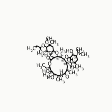 C=CC(=O)OC1[C@H](C)O[C@@H](O[C@H]2[C@H](C)[C@@H](O[C@@H]3O[C@H](C)C[C@H](N(C)C)[C@H]3O)[C@](C)(OC)C[C@@H](C)C(=O)N[C@H](C)[C@@H](O)[C@](C)(O)[C@@H](CC)OC(=O)[C@@H]2C)C[C@@]1(C)OC